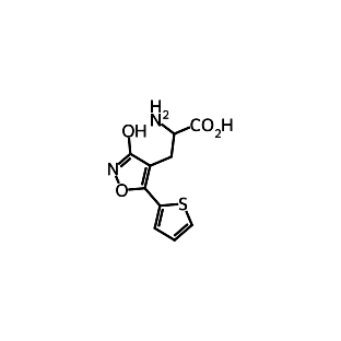 NC(Cc1c(O)noc1-c1cccs1)C(=O)O